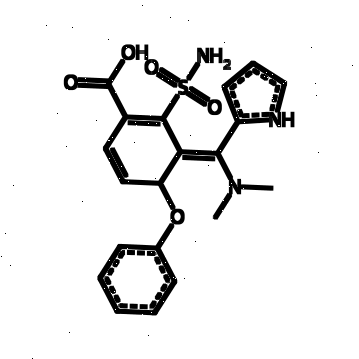 CN(C)C(=C1C(S(N)(=O)=O)=C(C(=O)O)C=CC1Oc1ccccc1)c1ccc[nH]1